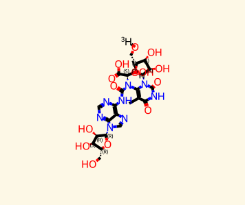 [3H]OC[C@H]1O[C@@H](n2c(N(C(=O)Nc3ncnc4c3ncn4[C@@H]3O[C@H](CO)[C@@H](O)[C@H]3O)[C@H](C(=O)O)[C@@H](C)O)c(C)c(=O)[nH]c2=O)[C@H](O)[C@@H]1O